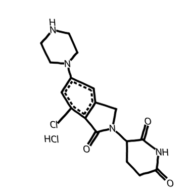 Cl.O=C1CCC(N2Cc3cc(N4CCNCC4)cc(Cl)c3C2=O)C(=O)N1